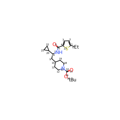 CCc1ccc(C(=O)N[C@@H](CC2CCN(C(=O)OC(C)(C)C)CC2)C2CC2)s1